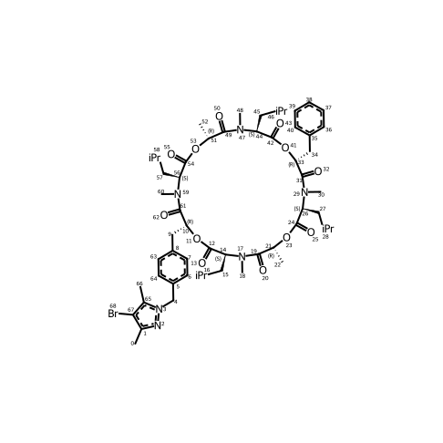 Cc1nn(Cc2ccc(C[C@H]3OC(=O)[C@H](CC(C)C)N(C)C(=O)[C@@H](C)OC(=O)[C@H](CC(C)C)N(C)C(=O)[C@@H](Cc4ccccc4)OC(=O)[C@H](CC(C)C)N(C)C(=O)[C@@H](C)OC(=O)[C@H](CC(C)C)N(C)C3=O)cc2)c(C)c1Br